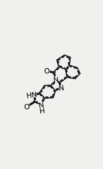 O=c1[nH]c2cc3nc4c5cccc6cccc(c(=O)n4c3cc2[nH]1)c65